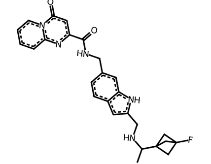 CC(NCc1cc2ccc(CNC(=O)c3cc(=O)n4ccccc4n3)cc2[nH]1)C12CC(F)(C1)C2